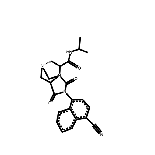 CC(C)NC(=O)C1C[N@@]2CC3C(=O)N(c4ccc(C#N)c5ccccc45)C(=O)[N+]13C2